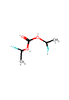 CC(F)OC(=O)OC(C)F